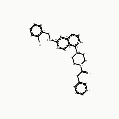 O=C(Cc1cccnc1)N1CCN(c2nccc3nc(NCc4ccccc4Cl)ncc23)CC1